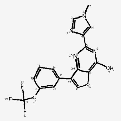 Cn1cnc(-c2nc(O)c3scc(-c4cccc(OC(F)(F)F)c4)c3n2)c1